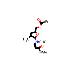 CNC(=O)/C=C\N(C=O)[C@@H]1OC(COC(=O)C(C)C)CC1C